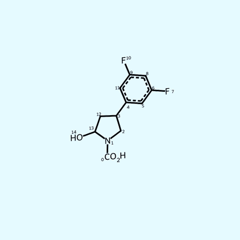 O=C(O)N1CC(c2cc(F)cc(F)c2)CC1O